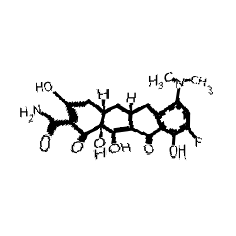 CN(C)c1cc(F)c(O)c2c1C[C@H]1C[C@H]3CC(O)=C(C(N)=O)C(=O)[C@@]3(O)C(O)=C1C2=O